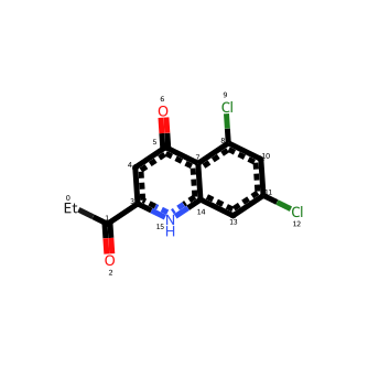 CCC(=O)c1cc(=O)c2c(Cl)cc(Cl)cc2[nH]1